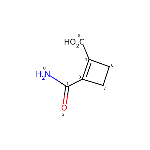 NC(=O)C1=C(C(=O)O)CC1